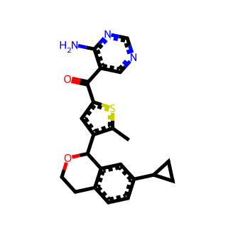 Cc1sc(C(=O)c2cncnc2N)cc1C1OCCc2ccc(C3CC3)cc21